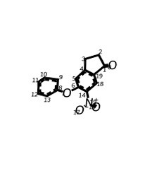 O=C1CCc2cc(Oc3ccccc3)c([N+](=O)[O-])cc21